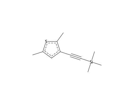 Cc1cc(C#C[Si](C)(C)C)c(C)s1